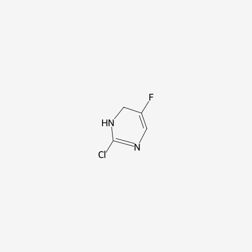 FC1=CN=C(Cl)NC1